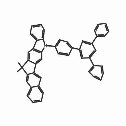 CC1(C)c2cc3ccccc3cc2-c2cc3c(cc21)c1ccccc1n3-c1ccc(-c2cc(-c3ccccc3)cc(-c3ccccc3)c2)cc1